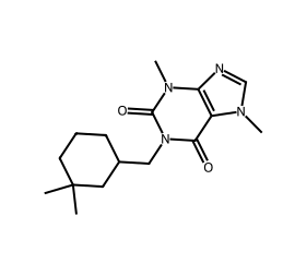 Cn1cnc2c1c(=O)n(CC1CCCC(C)(C)C1)c(=O)n2C